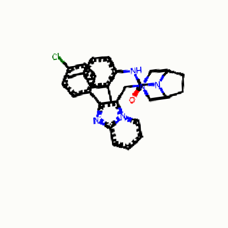 Cc1ccc(NC(=O)N2C3CCC2CN(Cc2c(-c4ccc(Cl)cc4)nc4ccccn24)C3)c(C)c1